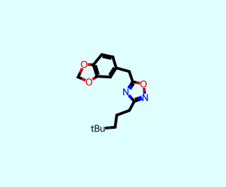 CC(C)(C)CCCc1noc(Cc2ccc3c(c2)OCO3)n1